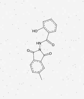 Cc1ccc2c(c1)C(=O)N(NC(=O)c1ccccc1O)C2=O